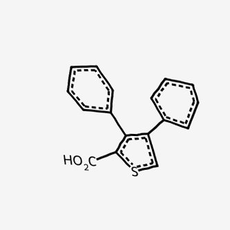 O=C(O)c1scc(-c2ccccc2)c1-c1ccccc1